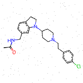 CC(=O)NCc1ccc2c(c1)N(C1CCN(CCc3ccc(Cl)cc3)CC1)CC2